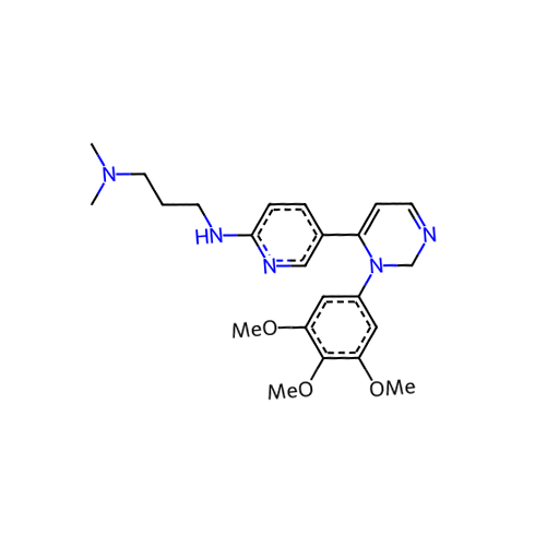 COc1cc(N2CN=CC=C2c2ccc(NCCCN(C)C)nc2)cc(OC)c1OC